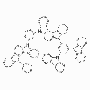 C1=Cc2c(c3c4c5ccccc5n(-c5cccc(-n6c7ccccc7c7c6ccc6c8ccccc8n(-c8ccccc8)c67)c5)c4ccc3n2C2=CC(n3c4ccccc4c4ccccc43)CC(n3c4ccccc4c4ccccc43)=C2)CC1